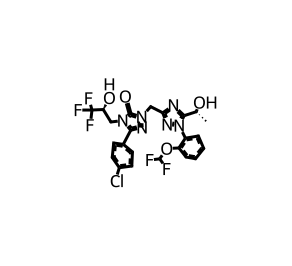 C[C@@H](O)c1nc(Cn2nc(-c3ccc(Cl)cc3)n(C[C@H](O)C(F)(F)F)c2=O)nn1-c1ccccc1OC(F)F